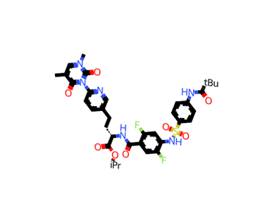 Cc1cn(C)c(=O)n(-c2ccc(CC[C@H](NC(=O)c3cc(F)c(NS(=O)(=O)c4ccc(NC(=O)C(C)(C)C)cc4)cc3F)C(=O)OC(C)C)cn2)c1=O